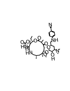 CC[C@H]1OC(=O)C(C)C(=O)[C@H](C)[C@@H](O[C@@H]2OC(CNc3ccc(C#N)cc3)CC(N(C)C)C2O)[C@](C)(OC)C[C@@H](C)CN[C@H](C)[C@H]2NC(=O)O[C@@]21C